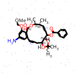 COCOc1cc(N)cc2c1[C@@H](O)O[C@@H](C)[C@H](C)/C=C\C(OC(=O)c1ccccc1)[C@H]1OC(C)(C)O[C@H]1C/C=C/2